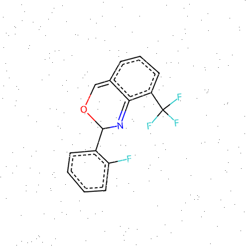 Fc1ccccc1C1N=c2c(C(F)(F)F)cccc2=CO1